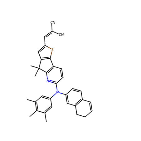 Cc1cc(N(c2ccc3c(c2)CCC=C3)c2ccc3c(n2)C(C)(C)c2cc(C=C(C#N)C#N)sc2-3)cc(C)c1C